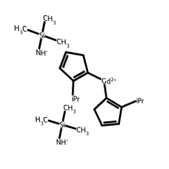 CC(C)C1=[C]([Gd+2][C]2=C(C(C)C)C=CC2)CC=C1.C[Si](C)(C)[NH-].C[Si](C)(C)[NH-]